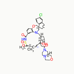 C[C@@H]1[C@@H](C)C/C=C/[C@@](O)(CC(=O)N2CCN3CCOC[C@H]3C2)[C@@H]2CC[C@H]2CN2C[C@@]3(CCCc4cc(Cl)ccc43)COc3ccc(cc32)C(=O)NS1(=O)=O